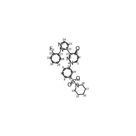 O=c1ccn(-c2cccc(S(=O)(=O)N3CCCCC3)c2)nc1-c1ccnn1-c1ccccc1F